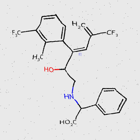 C=C(/C=C(\c1cccc(C(F)(F)F)c1C)C(O)CNC(C(=O)O)c1ccccc1)C(F)(F)F